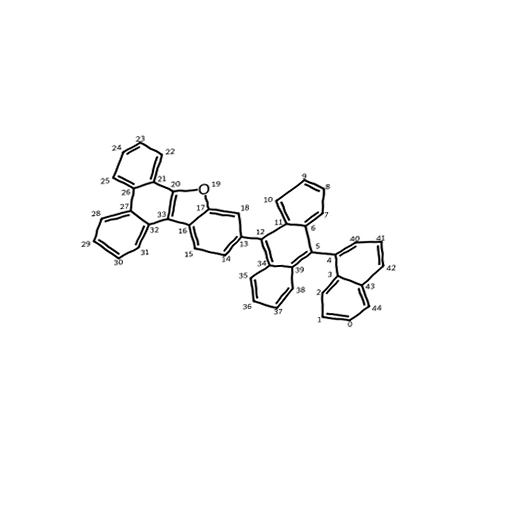 c1ccc2c(-c3c4ccccc4c(-c4ccc5c(c4)oc4c6ccccc6c6ccccc6c54)c4ccccc34)cccc2c1